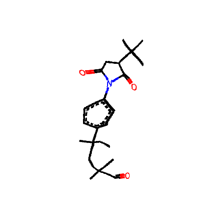 CC(C)(C=O)CC(C)(C)c1ccc(N2C(=O)CC(C(C)(C)C)C2=O)cc1